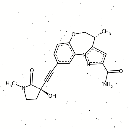 C[C@H]1COc2ccc(C#C[C@]3(O)CCN(C)C3=O)cc2-n2nc(C(N)=O)cc21